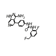 Nc1n[nH]c2cncc(-c3ccc(NC(=O)Nc4cc(CF)ccc4F)cc3)c12